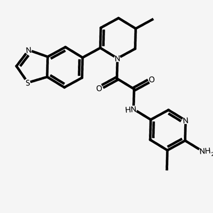 Cc1cc(NC(=O)C(=O)N2CC(C)CC=C2c2ccc3scnc3c2)cnc1N